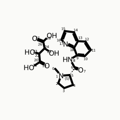 CN1CCC[C@H]1C(=O)Nc1cccc2cccnc12.O=C(O)C(O)C(O)C(=O)O